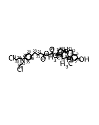 Cc1cc(O)cc2c1[C@H]1CC[C@]3(C)[C@@H](OC(=O)COC(=O)CCCc4ccc(N(CCCl)CCCl)cc4)CC[C@H]3[C@@H]1CC2